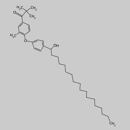 CCCCCCCCCCCCCCCCCC(O)c1ccc(Oc2ccc(C(=O)C(C)(C)C)cc2C)cc1